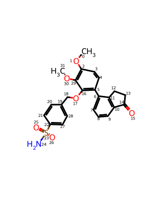 COc1ccc(-c2cccc3c2CCC3=O)c(OCc2ccc(S(N)(=O)=O)cc2)c1OC